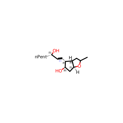 CCCCC[C@H](O)/C=C/[C@@H]1[C@H]2CC(C)O[C@H]2C[C@H]1O